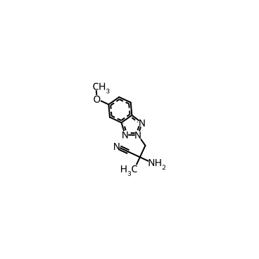 COc1ccc2nn(CC(C)(N)C#N)nc2c1